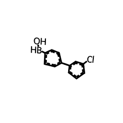 OBc1ccc(-c2cccc(Cl)c2)cc1